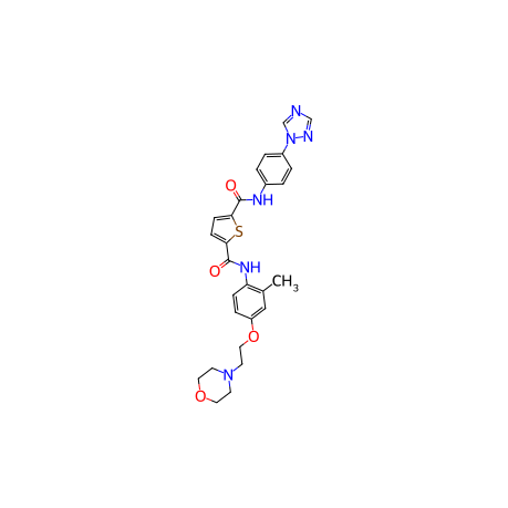 Cc1cc(OCCN2CCOCC2)ccc1NC(=O)c1ccc(C(=O)Nc2ccc(-n3cncn3)cc2)s1